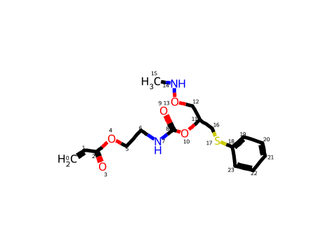 C=CC(=O)OCCNC(=O)OC(CONC)CSc1ccccc1